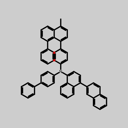 Cc1ccc(-c2ccc(N(c3ccc(-c4ccccc4)cc3)c3ccc(-c4ccc5ccccc5c4)c4ccccc34)cc2)c2c(-c3ccccc3)cccc12